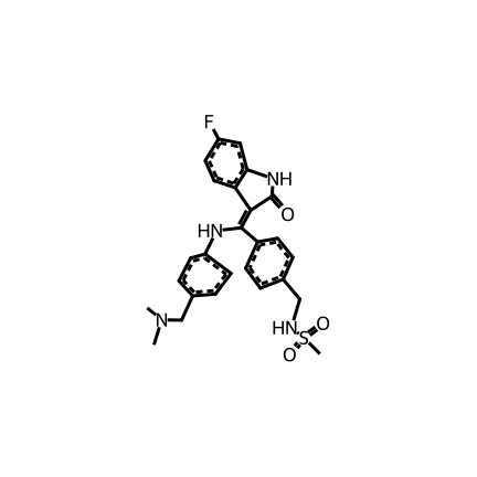 CN(C)Cc1ccc(NC(=C2C(=O)Nc3cc(F)ccc32)c2ccc(CNS(C)(=O)=O)cc2)cc1